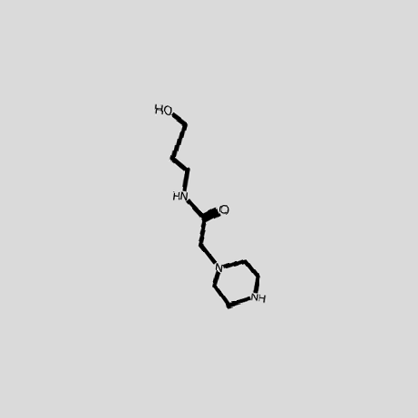 O=C(CN1CCNCC1)NCCCO